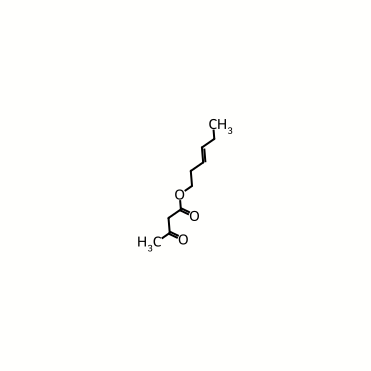 CCC=CCCOC(=O)CC(C)=O